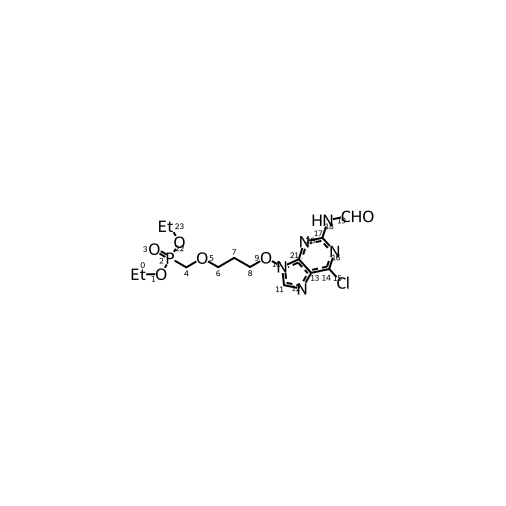 CCOP(=O)(COCCCOn1cnc2c(Cl)nc(NC=O)nc21)OCC